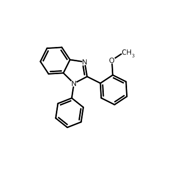 COc1ccccc1-c1nc2ccccc2n1-c1ccccc1